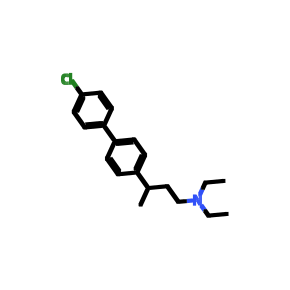 CCN(CC)CCC(C)c1ccc(-c2ccc(Cl)cc2)cc1